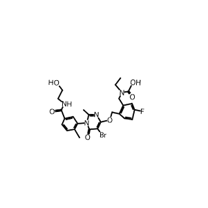 CCN(Cc1cc(F)ccc1COc1nc(C)n(-c2cc(C(=O)NCCO)ccc2C)c(=O)c1Br)C(=O)O